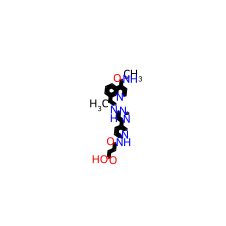 CNC(=O)c1ccnc2c([C@H](C)CNc3cc(-c4ccc(NC(=O)CCC(=O)O)nc4)ncn3)cccc12